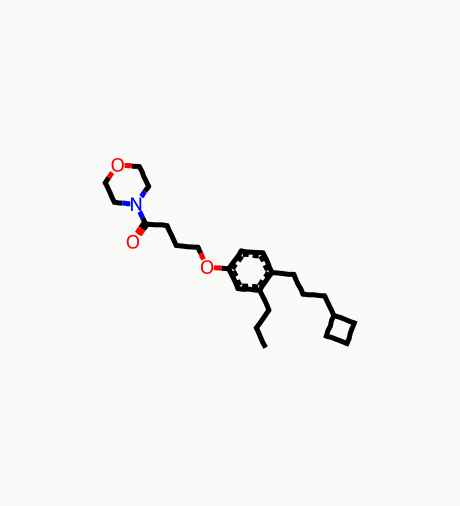 CCCc1cc(OCCCC(=O)N2CCOCC2)ccc1CCCC1CCC1